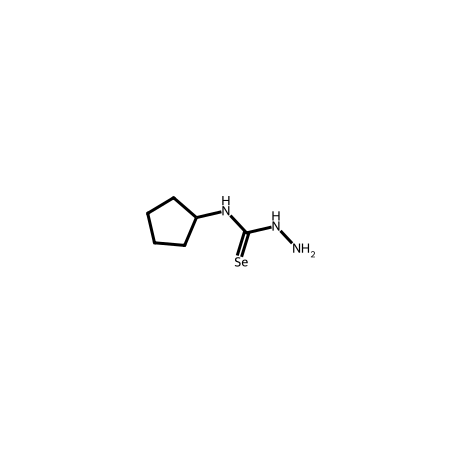 NNC(=[Se])NC1CCCC1